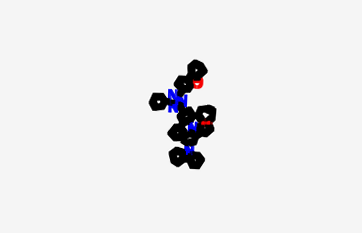 C1#CCC(c2cc(-c3nc(-c4ccc5c(c4)oc4ccccc45)nc(C4C=CC=CC4)n3)cc(-c3ccccc3)c2-n2c3c(c4ccccc42)C=C(n2c4ccccc4c4ccccc42)CC3)=CC=C1